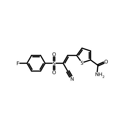 N#CC(=Cc1ccc(C(N)=O)s1)S(=O)(=O)c1ccc(F)cc1